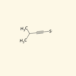 CC(C)C#C[S]